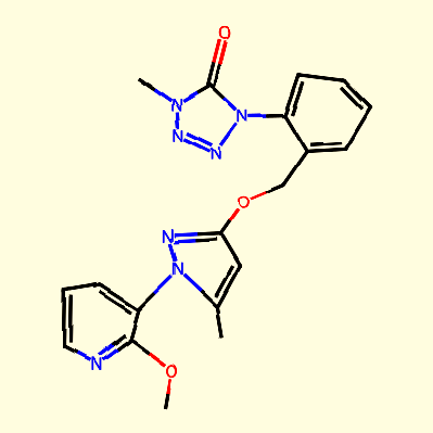 COc1ncccc1-n1nc(OCc2ccccc2-n2nnn(C)c2=O)cc1C